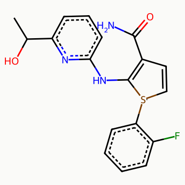 CC(O)c1cccc(NC2=C(C(N)=O)C=C[S]2c2ccccc2F)n1